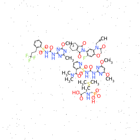 C#CCN1C(=O)COc2cc(F)c(N3C(=O)C4=C(CCCC4)C3=O)cc21.COc1cc(OC)nc(NC(=O)NS(=O)(=O)c2ncccc2C(=O)N(C)C)n1.COc1nc(C)nc(NC(=O)NS(=O)(=O)c2ccccc2CCC(F)(F)F)n1.C[S+](C)C.O=C(O)CNCP(=O)([O-])O